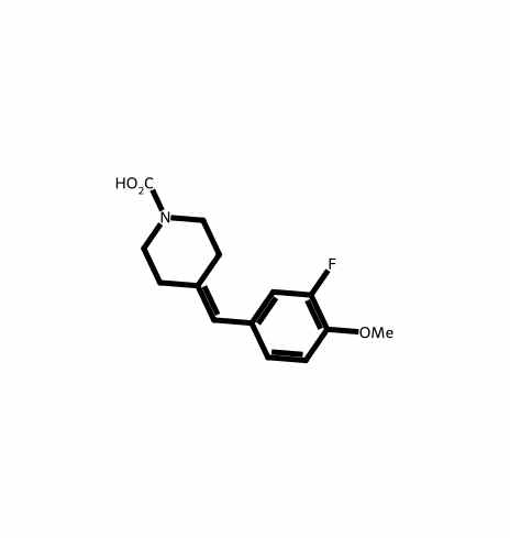 COc1ccc(C=C2CCN(C(=O)O)CC2)cc1F